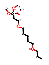 CCCOCCCCCOCC[Si](OC)(OC)OC